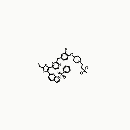 CCc1nc(-c2ccc3ccn(S(=O)(=O)c4ccccc4)c3c2)c(-c2ccnc(Cc3ccc(OC4CCN(CCS(C)(=O)=O)CC4)c(F)c3)n2)s1